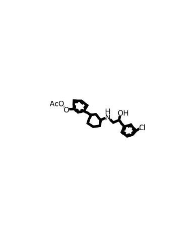 CC(=O)OOc1cccc(C2CCCC(NCC(O)c3cccc(Cl)c3)C2)c1